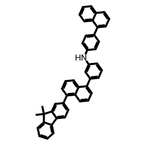 CC1(C)c2ccccc2-c2ccc(-c3cccc4c(-c5cccc(Nc6ccc(-c7cccc8ccccc78)cc6)c5)cccc34)cc21